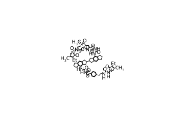 CCC1=C(C)CN(NC(=O)NCCc2ccc(S(=O)(=O)NC(=O)Nc3c4c(cc5c3CC(C3Cc6cc7c(c(NC(=O)NS(=O)(=O)c8cc(C(=O)N(C)CCNC(=O)N9CC(C)=C(CC)C9=O)n(C)n8)c6C3)CCC7)C5)CCC4)cc2)C1=O